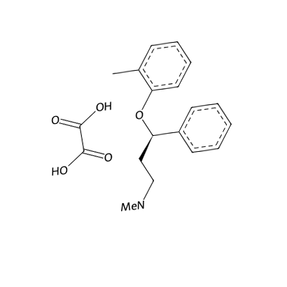 CNCC[C@@H](Oc1ccccc1C)c1ccccc1.O=C(O)C(=O)O